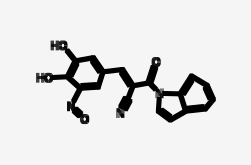 N#C/C(=C\c1cc(O)c(O)c(N=O)c1)C(=O)n1ccc2ccccc21